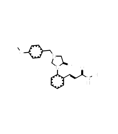 COc1ccc(CN2CC(=O)N(c3ccccc3C=CC(=O)NO)C2)cc1